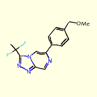 COCc1ccc(-c2cn3c(C(C)(F)F)nnc3cn2)cc1